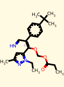 CCC(=O)OCO/C(=C(/C=N)c1ccc(C(C)(C)C)cc1)c1cc(C)nn1CC